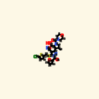 CC1CN(C(=O)N2CCOCC2)C(C(=O)O)C1c1nn(C(=O)c2ccco2)c(SCc2ccc(Cl)s2)c1C#N